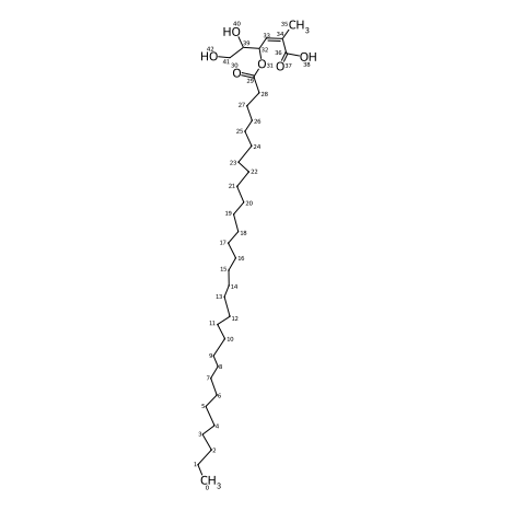 CCCCCCCCCCCCCCCCCCCCCCCCCCCCCC(=O)OC(C=C(C)C(=O)O)C(O)CO